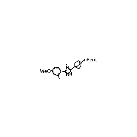 CCCCCC12CCC(c3nnc(-c4ccc(OC)cc4C)n3C)(CC1)CC2